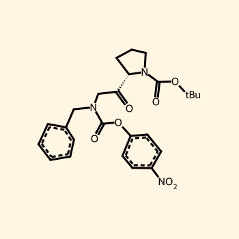 CC(C)(C)OC(=O)N1CCC[C@H]1C(=O)CN(Cc1ccccc1)C(=O)Oc1ccc([N+](=O)[O-])cc1